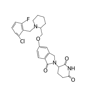 O=C1CCC(N2Cc3cc(OCC4CCCCN4Cc4c(F)cccc4Cl)ccc3C2=O)C(=O)N1